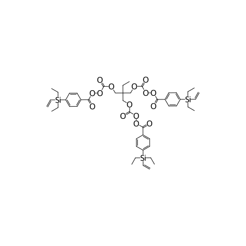 C=C[Si](CC)(CC)c1ccc(C(=O)OOC(=O)OCC(CC)(COC(=O)OOC(=O)c2ccc([Si](C=C)(CC)CC)cc2)COC(=O)OOC(=O)c2ccc([Si](C=C)(CC)CC)cc2)cc1